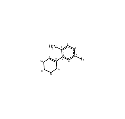 Nc1ccc(I)cc1C1=CCCCC1